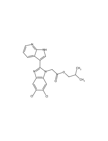 CC(C)COC(=O)Cn1c(-c2c[nH]c3ncccc23)nc2cc(Cl)c(Cl)cc21